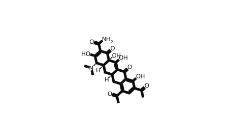 CC(=O)c1cc(C(C)=O)c2c(c1O)C(=O)C1=C(O)[C@]3(O)C(=O)C(C(N)=O)=C(O)[C@@H](N(C)C)[C@@H]3C[C@@H]1C2